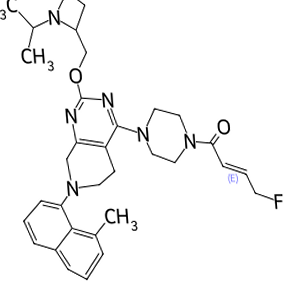 Cc1cccc2cccc(N3CCc4c(nc(OCC5CCN5C(C)C)nc4N4CCN(C(=O)/C=C/CF)CC4)C3)c12